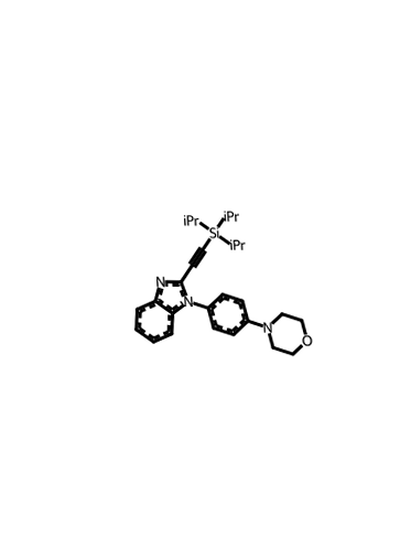 CC(C)[Si](C#Cc1nc2ccccc2n1-c1ccc(N2CCOCC2)cc1)(C(C)C)C(C)C